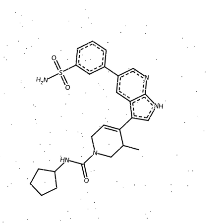 CC1CN(C(=O)NC2CCCC2)CC=C1c1c[nH]c2ncc(-c3cccc(S(N)(=O)=O)c3)cc12